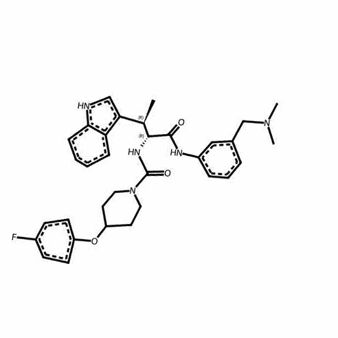 C[C@H](c1c[nH]c2ccccc12)[C@@H](NC(=O)N1CCC(Oc2ccc(F)cc2)CC1)C(=O)Nc1cccc(CN(C)C)c1